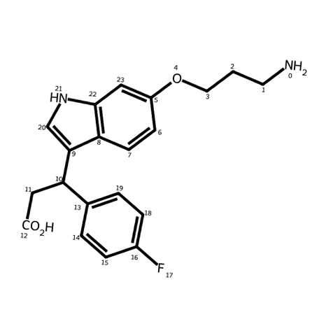 NCCCOc1ccc2c(C(CC(=O)O)c3ccc(F)cc3)c[nH]c2c1